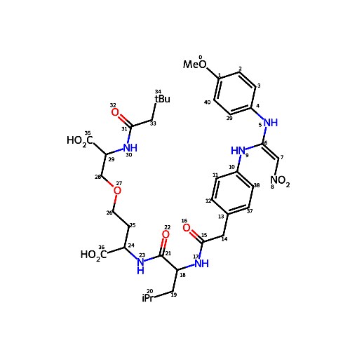 COc1ccc(NC(=C[N+](=O)[O-])Nc2ccc(CC(=O)NC(CC(C)C)C(=O)NC(CCOCC(NC(=O)CC(C)(C)C)C(=O)O)C(=O)O)cc2)cc1